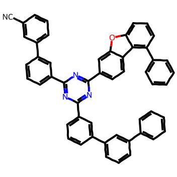 N#Cc1cccc(-c2cccc(-c3nc(-c4cccc(-c5cccc(-c6ccccc6)c5)c4)nc(-c4ccc5c(c4)oc4cccc(-c6ccccc6)c45)n3)c2)c1